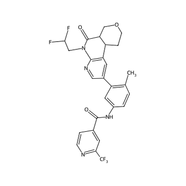 Cc1ccc(NC(=O)c2ccnc(C(F)(F)F)c2)cc1-c1cnc2c(c1)C1CCOCC1C(=O)N2CC(F)F